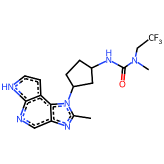 Cc1nc2cnc3[nH]ccc3c2n1C1CCC(NC(=O)N(C)CC(F)(F)F)C1